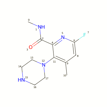 CNC(=O)c1nc(F)cc(C)c1N1CCNCC1